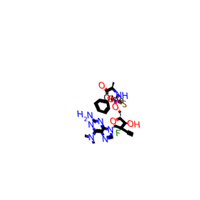 C#C[C@@]1(F)[C@H](O)[C@@H](COP(=S)(N[C@H](C)C(=O)OC)Oc2ccccc2)O[C@H]1n1cnc2c(N(C)C)nc(N)nc21